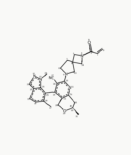 C=CC(=O)N1CC2(CCN(c3nc4c(c(-c5c(C)ccc6cnn(C)c56)c3C#N)CO[C@H](C)C4)C2)C1